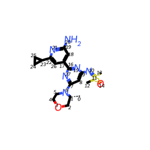 C[C@@H]1COCCN1c1cc(N=S(C)(C)=O)nc(-c2cc(N)nc(C3CC3)c2)n1